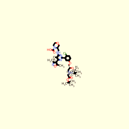 Cc1noc(C)c1-c1nc(-c2cc(OC[C@@H](CNCC(=O)OC(C)(C)C)O[Si](C)(C)C(C)(C)C)ccc2Cl)nc(NCC2COCCN2C(=O)O)c1C